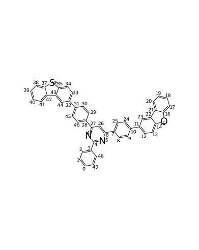 c1ccc(-c2nc(-c3ccc(-c4ccc5oc6ccccc6c5c4)cc3)cc(-c3ccc(-c4ccc5sc6ccccc6c5c4)cc3)n2)cc1